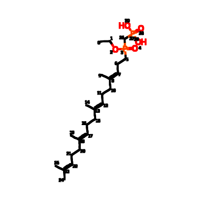 CCOP(=O)(CC/C=C(\C)CC/C=C(\C)CC/C=C(\C)CCC=C(C)C)CP(=O)(O)O